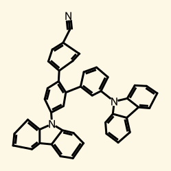 N#Cc1ccc(-c2ccc(-n3c4ccccc4c4ccccc43)cc2-c2cccc(-n3c4ccccc4c4ccccc43)c2)cc1